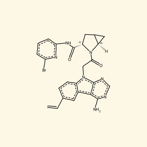 C=Cc1ccc2c(c1)c1c(N)ncnc1n2CC(=O)N1[C@@H]2CC2C[C@H]1C(=O)Nc1cccc(Br)n1